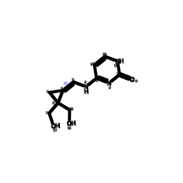 O=c1nc(N/C=C2/CC2(CO)CO)cc[nH]1